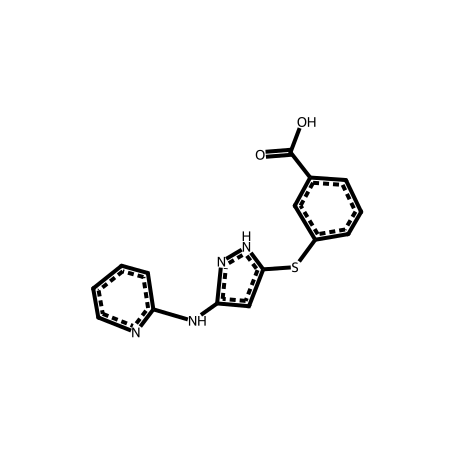 O=C(O)c1cccc(Sc2cc(Nc3ccccn3)n[nH]2)c1